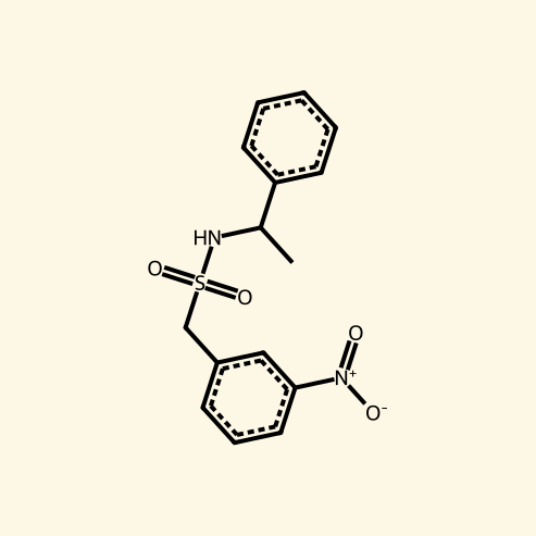 CC(NS(=O)(=O)Cc1cccc([N+](=O)[O-])c1)c1ccccc1